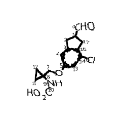 O=CC1Cc2cc(OCC3(NC(=O)O)CC3)cc(Cl)c2C1